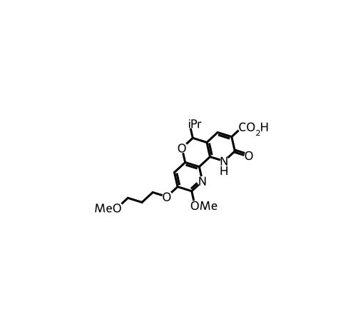 COCCCOc1cc2c(nc1OC)-c1[nH]c(=O)c(C(=O)O)cc1C(C(C)C)O2